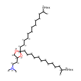 CCCCCCC(C)CCCCCCCCCCCC1(CCCCCCCCCCCC(C)CCCCCC)OCC(CCN(C)C)O1